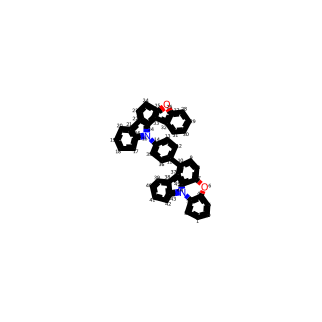 c1ccc2c(c1)Oc1ccc(-c3ccc(-n4c5ccccc5c5ccc6oc7ccccc7c6c54)cc3)c3c4ccccc4n-2c13